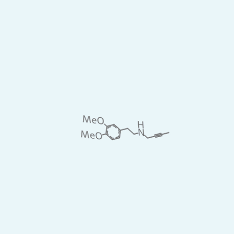 CC#CCNCCc1ccc(OC)c(OC)c1